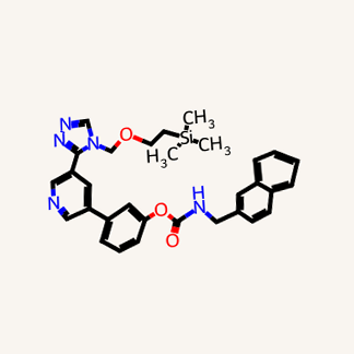 C[Si](C)(C)CCOCn1cnnc1-c1cncc(-c2cccc(OC(=O)NCc3ccc4ccccc4c3)c2)c1